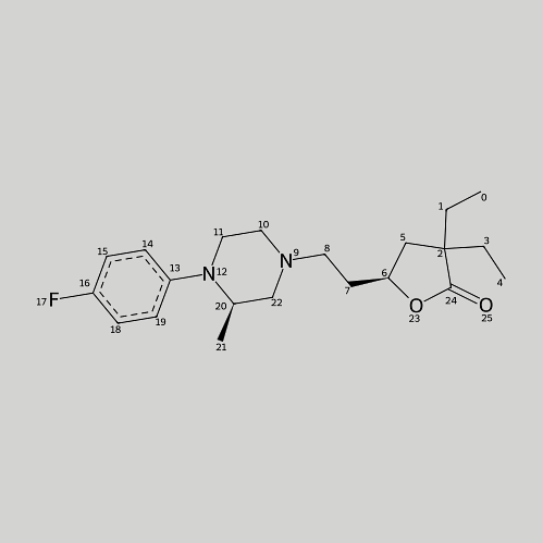 CCC1(CC)C[C@H](CCN2CCN(c3ccc(F)cc3)[C@H](C)C2)OC1=O